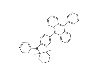 CC12CCCCC1(C)c1cc(-c3c4ccccc4c(-c4ccccc4)c4ccccc34)ccc1B2c1ccccc1